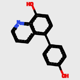 Oc1ccc(-c2ccc(O)c3ncccc23)cc1